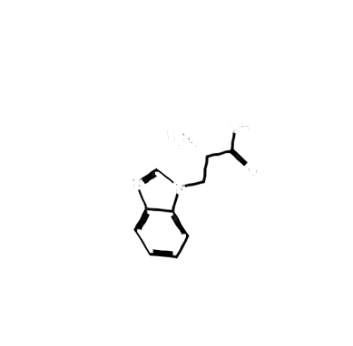 N[C@@H](Cn1cnc2ccccc21)C(=O)O